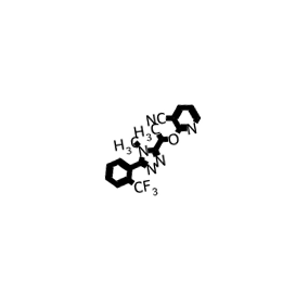 CC(Oc1ncccc1C#N)c1nnc(-c2ccccc2C(F)(F)F)n1C